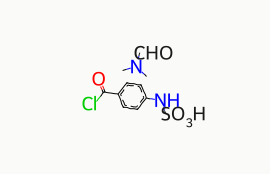 CN(C)C=O.O=C(Cl)c1ccc(NS(=O)(=O)O)cc1